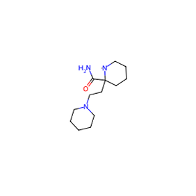 NC(=O)C1(CCN2CCCCC2)CCCC[N]1